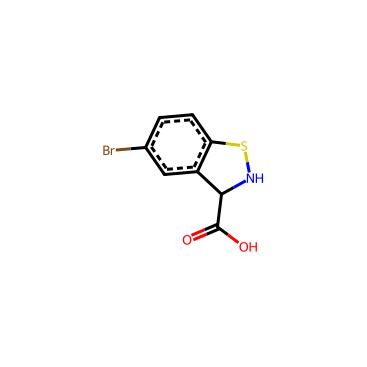 O=C(O)C1NSc2ccc(Br)cc21